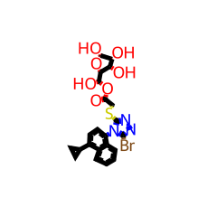 O=C(CSc1nnc(Br)n1-c1ccc(C2CC2)c2ccccc12)OC(O)C1OC(O)C(O)C1O